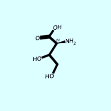 N[C@H](C(=O)O)C(O)CO